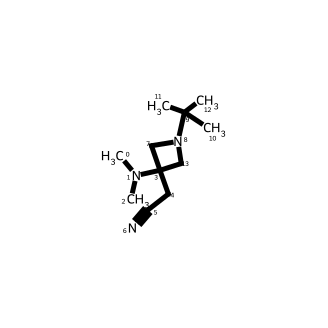 CN(C)C1(CC#N)CN(C(C)(C)C)C1